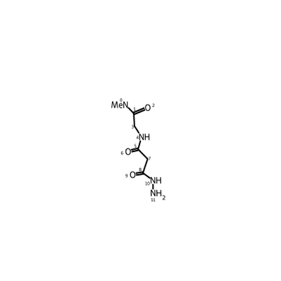 CNC(=O)CNC(=O)CC(=O)NN